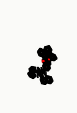 c1ccc2c(c1)-c1ccccc1C21c2ccccc2-c2cccc(-c3ccc4cc(-c5nc(-c6cccc7ccccc67)nc(-c6cccc7ccccc67)n5)ccc4c3)c21